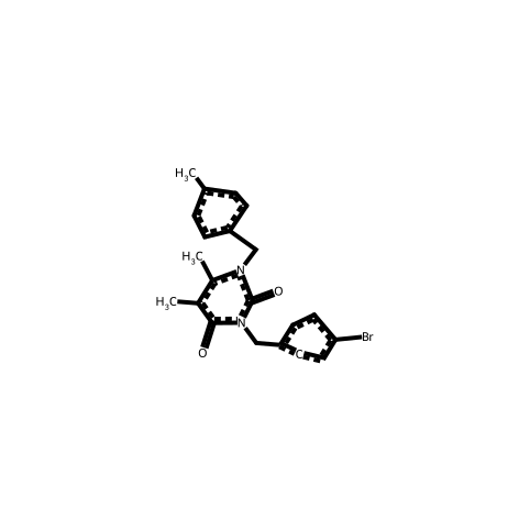 Cc1ccc(Cn2c(C)c(C)c(=O)n(Cc3ccc(Br)cc3)c2=O)cc1